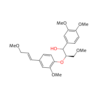 COC/C=C/c1ccc(O[C@H](COC)C(O)c2ccc(OC)c(OC)c2)c(OC)c1